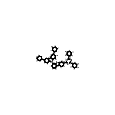 c1ccc(-c2ccc3c(c2)c2cc(-c4ccccc4)ccc2n3-c2cccc3c2oc2cc(-c4nc(-c5ccccc5)nc(-c5ccccc5)n4)ccc23)cc#1